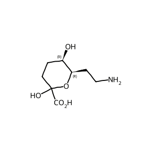 NCC[C@H]1OC(O)(C(=O)O)CC[C@H]1O